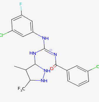 CC1C(N/C(=N\C(=O)c2cccc(Cl)c2)Nc2cc(F)cc(Cl)c2)NNC1C(F)(F)F